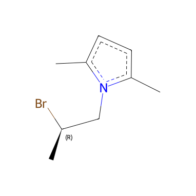 Cc1ccc(C)n1C[C@@H](C)Br